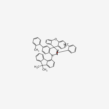 Cc1ccccc1-c1ccc2c(c1)C1(c3ccccc3Oc3ccccc31)c1cc(-c3ccccc3C)ccc1N2c1cccc2c1-c1ccccc1C2(C)C